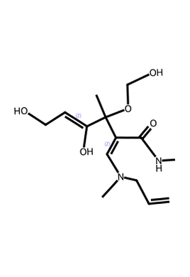 C=CCN(C)/C=C(\C(=O)NC)C(C)(OCO)/C(O)=C/CO